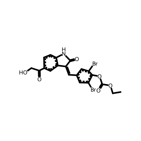 CCOC(=O)Oc1c(Br)cc(/C=C2\C(=O)Nc3ccc(C(=O)CO)cc32)cc1Br